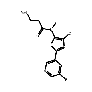 CSCCC(=O)N(C)c1sc(-c2cncc(F)c2)nc1Cl